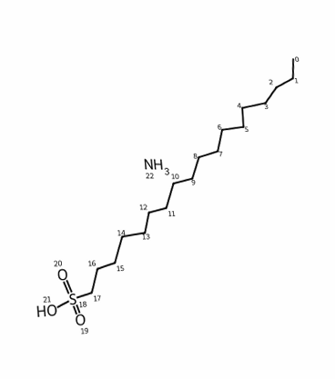 CCCCCCCCCCCCCCCCCCS(=O)(=O)O.N